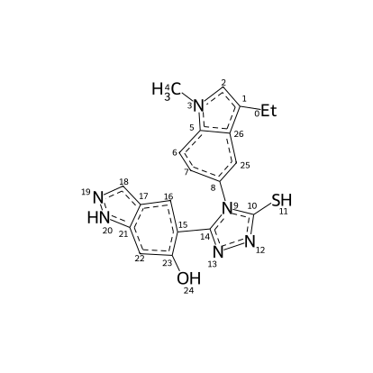 CCc1cn(C)c2ccc(-n3c(S)nnc3-c3cc4cn[nH]c4cc3O)cc12